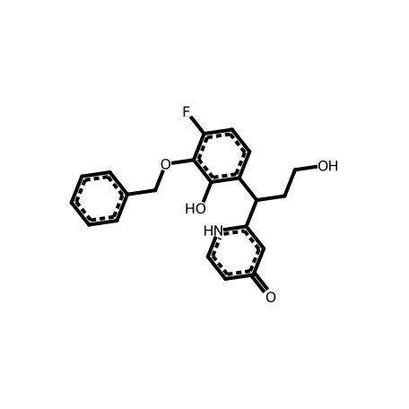 O=c1cc[nH]c(C(CCO)c2ccc(F)c(OCc3ccccc3)c2O)c1